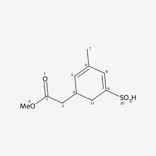 COC(=O)CC1C=C(C)C=C(S(=O)(=O)O)C1